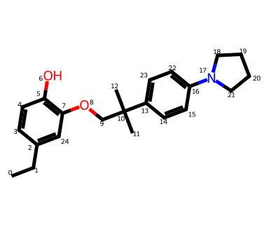 CCc1ccc(O)c(OCC(C)(C)c2ccc(N3CCCC3)cc2)c1